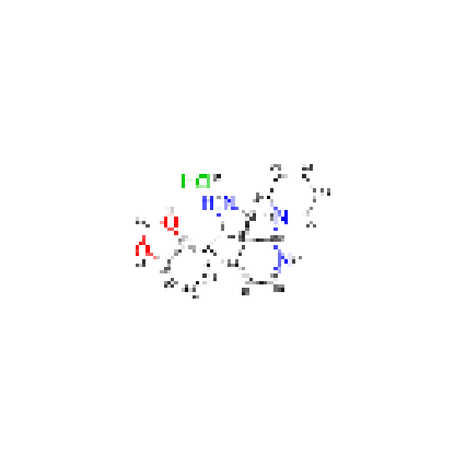 Cl.NCC1(Cc2cccc3c2OCO3)C=CC=NC1N1CCCCC1